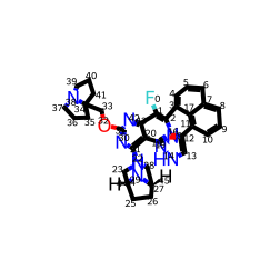 Fc1c(-c2cccc3cccc(-c4c[nH]nn4)c23)ncc2c(N3C[C@H]4CC[C@@H](C3)N4)nc(OCC34CCCN3CCC4)nc12